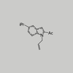 C=CCn1c(C(C)=O)cc2cc(C(C)C)ccc21